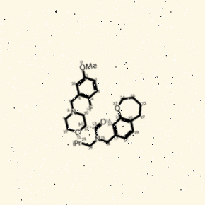 COc1ccc(F)c(CN2CCO[C@@H](C(=O)N(Cc3ccc4c(c3)OCCCC4)CC(C)C)C2)c1